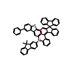 CC1(C)c2ccccc2-c2ccc(N(c3ccc4sc5ccc(-c6ccccc6)cc5c4c3)c3ccccc3-c3cccc4c3-c3ccccc3C43c4ccccc4-c4ccccc43)cc21